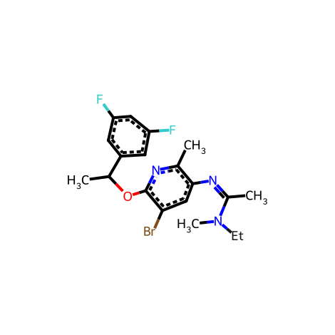 CCN(C)C(C)=Nc1cc(Br)c(OC(C)c2cc(F)cc(F)c2)nc1C